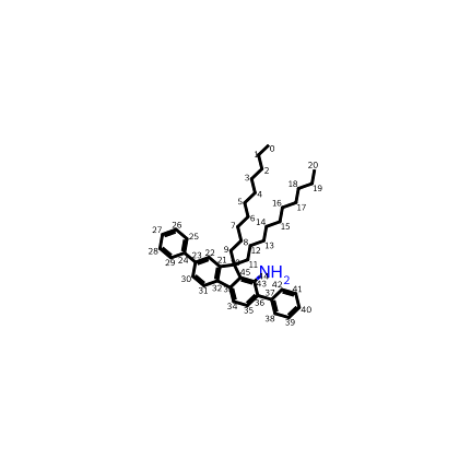 CCCCCCCCCCC1(CCCCCCCCCC)c2cc(-c3ccccc3)ccc2-c2ccc(-c3ccccc3)c(N)c21